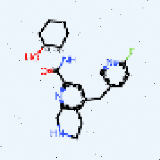 O=C(N[C@H]1CCCC[C@@H]1O)c1cc(Cc2ccc(F)nc2)c2c(n1)CNCC2